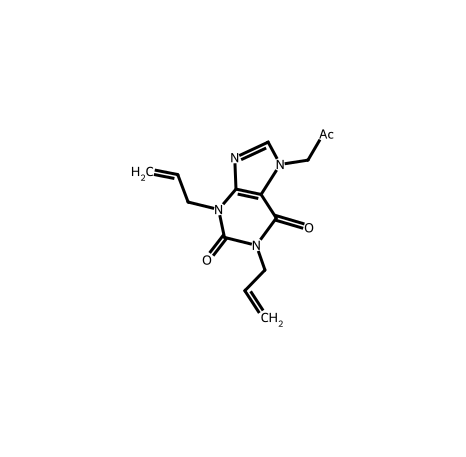 C=CCn1c(=O)c2c(ncn2CC(C)=O)n(CC=C)c1=O